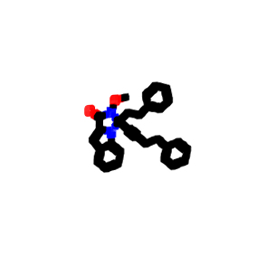 CON1C(=O)c2cc3ccccc3n2C1(C#CCCc1ccccc1)CCc1ccccc1